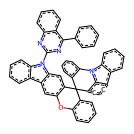 c1ccc(-c2nc(-n3c4ccccc4c4cc5c(cc43)C3(c4ccccc4O5)c4ccccc4-n4c5ccccc5c5cccc3c54)nc3ccccc23)cc1